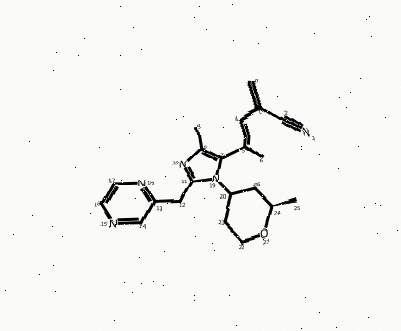 C=C(C#N)/C=C(\C)c1c(C)nc(Cc2cnccn2)n1C1CCO[C@H](C)C1